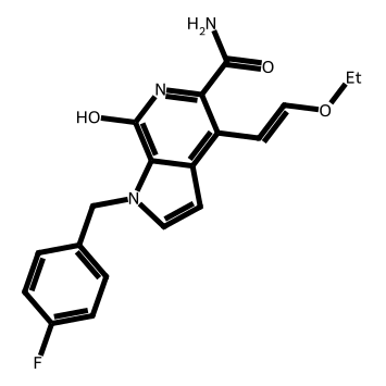 CCO/C=C/c1c(C(N)=O)nc(O)c2c1ccn2Cc1ccc(F)cc1